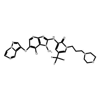 Cn1c(Nc2cc(C(F)(F)F)cn(CCCN3CCOCC3)c2=O)nc2ncc(Oc3cnn4ccncc34)c(Cl)c21